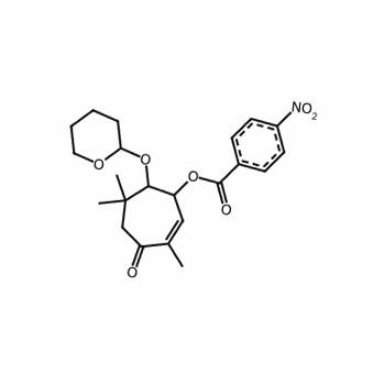 CC1=CC(OC(=O)c2ccc([N+](=O)[O-])cc2)C(OC2CCCCO2)C(C)(C)CC1=O